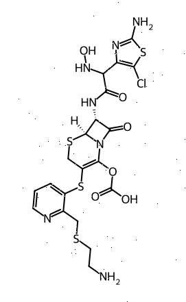 NCCSCc1ncccc1SC1=C(OC(=O)O)N2C(=O)[C@@H](NC(=O)C(NO)c3nc(N)sc3Cl)[C@@H]2SC1